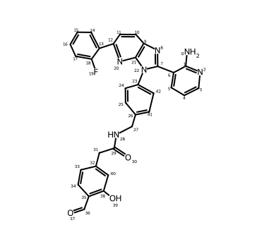 Nc1ncccc1-c1nc2ccc(-c3ccccc3F)nc2n1-c1ccc(CNC(=O)Cc2ccc(C=O)c(O)c2)cc1